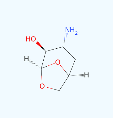 N[C@@H]1C[C@H]2CO[C@H](O2)[C@H]1O